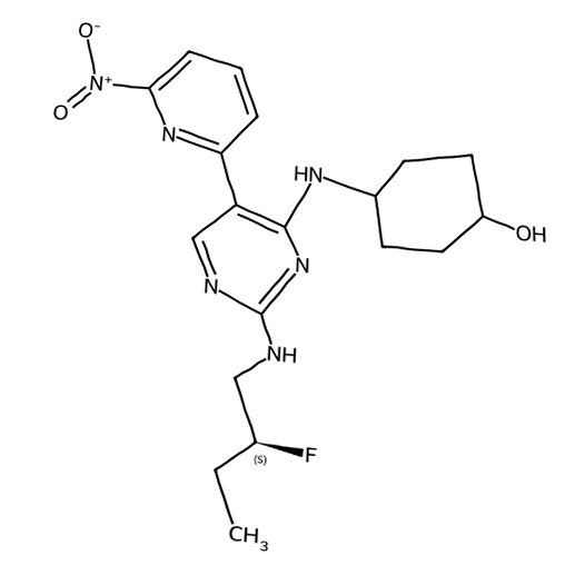 CC[C@H](F)CNc1ncc(-c2cccc([N+](=O)[O-])n2)c(NC2CCC(O)CC2)n1